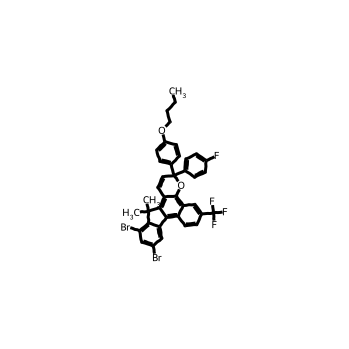 CCCCOc1ccc(C2(c3ccc(F)cc3)C=Cc3c4c(c5ccc(C(F)(F)F)cc5c3O2)-c2cc(Br)cc(Br)c2C4(C)C)cc1